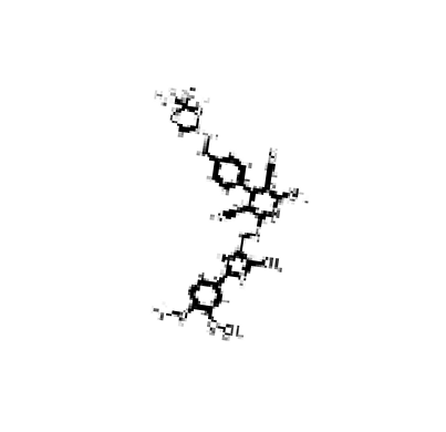 COc1ccc(-c2nc(CSc3nc(N)c(C#N)c(-c4ccc(CC[C@@H]5COC(C)(C)O5)cc4)c3C#N)c(C)o2)cc1OC